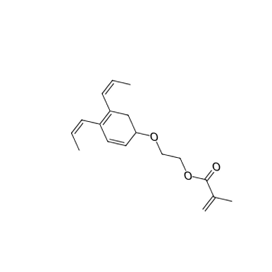 C=C(C)C(=O)OCCOC1C=CC(/C=C\C)=C(/C=C\C)C1